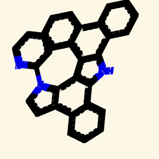 c1ccc(-n2ccc3c4ccccc4c4[nH]c5c6ccccc6c6ccccc6c5c4c32)nc1